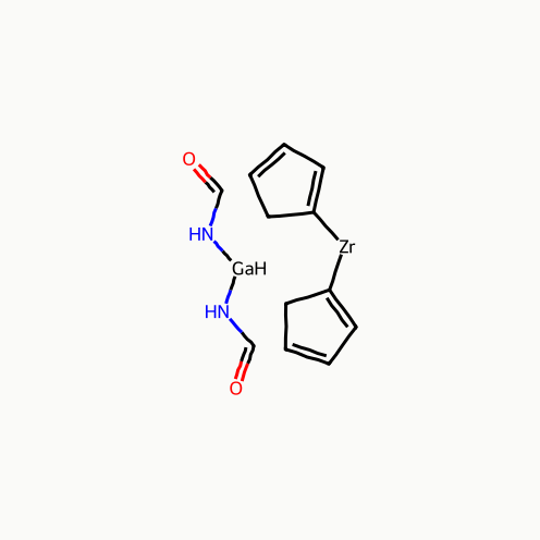 C1=CC[C]([Zr][C]2=CC=CC2)=C1.O=C[NH][GaH][NH]C=O